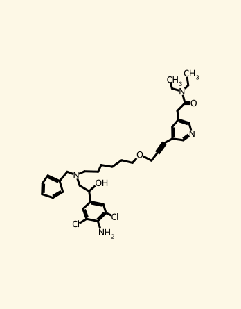 CCN(CC)C(=O)Cc1cncc(C#CCOCCCCCCN(Cc2ccccc2)CC(O)c2cc(Cl)c(N)c(Cl)c2)c1